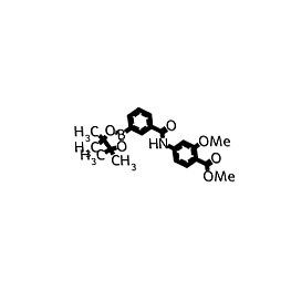 COC(=O)c1ccc(NC(=O)c2cccc(B3OC(C)(C)C(C)(C)O3)c2)cc1OC